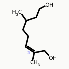 C/C(=C/CCC(C)CCO)CO